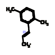 [CH2]/C=C/c1cc(C)ccc1C